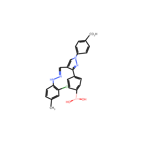 Cc1ccc(N/N=C/c2cn(-c3ccc(C(=O)O)cc3)nc2-c2ccc(B(O)O)cc2)c(Cl)c1